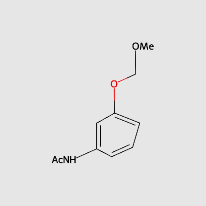 COCOc1cccc(NC(C)=O)c1